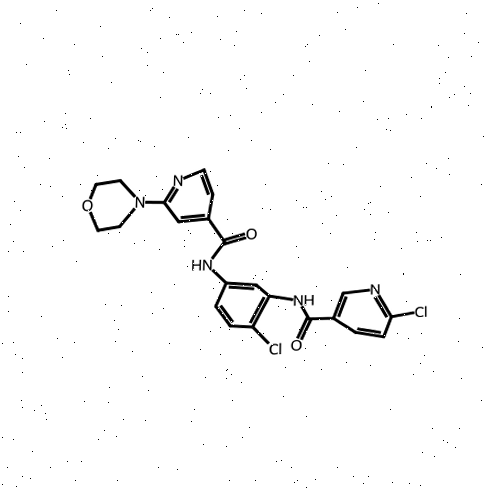 O=C(Nc1ccc(Cl)c(NC(=O)c2ccc(Cl)nc2)c1)c1ccnc(N2CCOCC2)c1